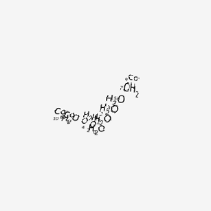 O.O.O.O.O.O.O.O.[Co].[Co].[Co]